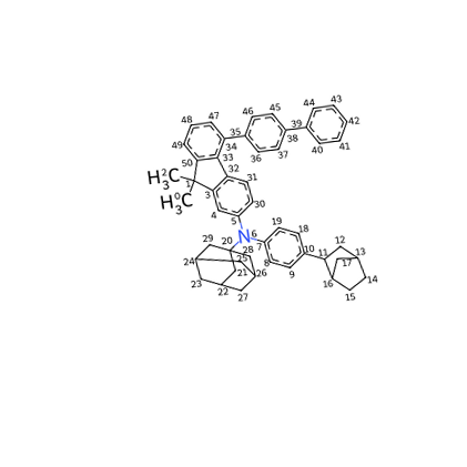 CC1(C)c2cc(N(c3ccc(C4CC5CCC4C5)cc3)C34CC5CC(CC(C5)C3)C4)ccc2-c2c(-c3ccc(-c4ccccc4)cc3)cccc21